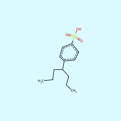 CCCC(CCC)c1ccc(S(=O)(=O)O)cc1